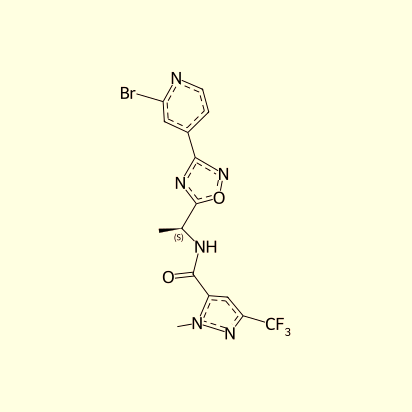 C[C@H](NC(=O)c1cc(C(F)(F)F)nn1C)c1nc(-c2ccnc(Br)c2)no1